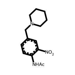 CC(=O)Nc1ccc(CN2CCCCC2)cc1[N+](=O)[O-]